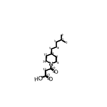 CC(C)CCCC1CCN(C(=O)CC(=O)O)CC1